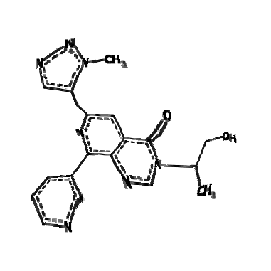 CC(CO)n1cnc2c(-c3cccnc3)nc(-c3cnnn3C)cc2c1=O